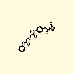 O=C(COCC(=O)Oc1ccccc1)Nc1ccc(CC(=O)N2CCC2=O)cc1